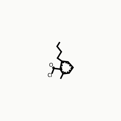 CCCCc1cccc(C)c1C(=O)Cl